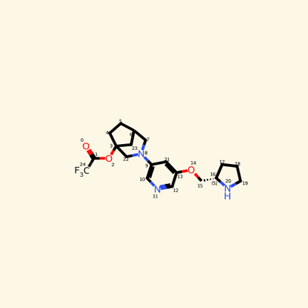 O=C(OC12CCC(CN(c3cncc(OC[C@@H]4CCCN4)c3)C1)C2)C(F)(F)F